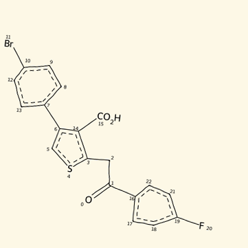 O=C(Cc1scc(-c2ccc(Br)cc2)c1C(=O)O)c1ccc(F)cc1